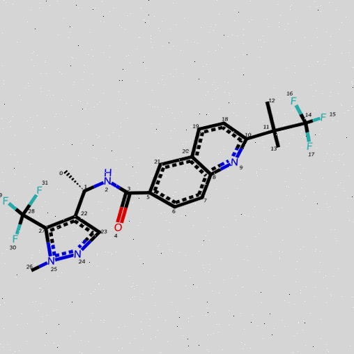 C[C@H](NC(=O)c1ccc2nc(C(C)(C)C(F)(F)F)ccc2c1)c1cnn(C)c1C(F)(F)F